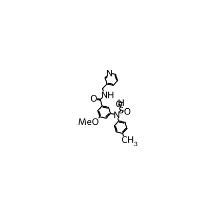 COc1cc(C(=O)NCc2cccnc2)cc(N(c2ccc(C)cc2)[SH](=O)=O)c1